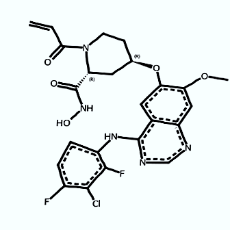 C=CC(=O)N1CC[C@@H](Oc2cc3c(Nc4ccc(F)c(Cl)c4F)ncnc3cc2OC)C[C@@H]1C(=O)NO